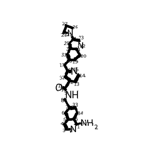 Nc1nccc2cc(CNC(=O)c3ccnc(Cc4ccc5ncc(N6CCC6)cc5c4)c3)ccc12